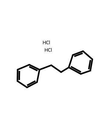 Cl.Cl.c1ccc(CCc2ccccc2)cc1